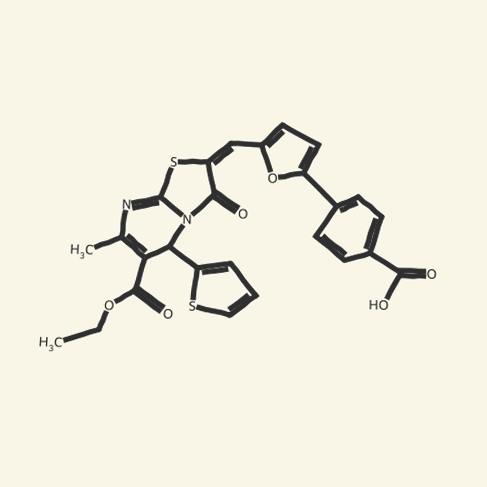 CCOC(=O)C1=C(C)N=c2s/c(=C/c3ccc(-c4ccc(C(=O)O)cc4)o3)c(=O)n2C1c1cccs1